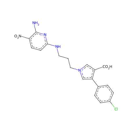 Nc1nc(NCCCn2cc(C(=O)O)c(-c3ccc(Cl)cc3)c2)ccc1[N+](=O)[O-]